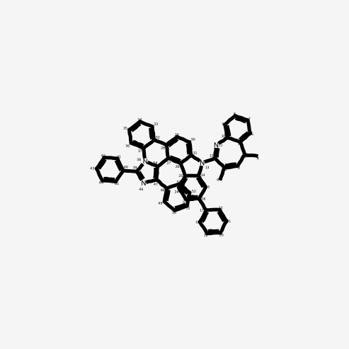 CC1=CC(C)c2ccccc2N=C1n1c2cc(-c3ccccc3)ccc2c2c3c(ccc21)c1ccccc1n1c(-c2ccccc2)nc(-c2ccccc2)c31